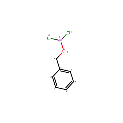 ClP(Cl)OCc1ccccc1